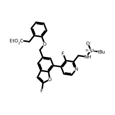 CCOC(=O)Cc1ccccc1OCc1cc(-c2ccnc(CN[S@@+]([O-])C(C)(C)C)c2F)c2oc(F)cc2c1